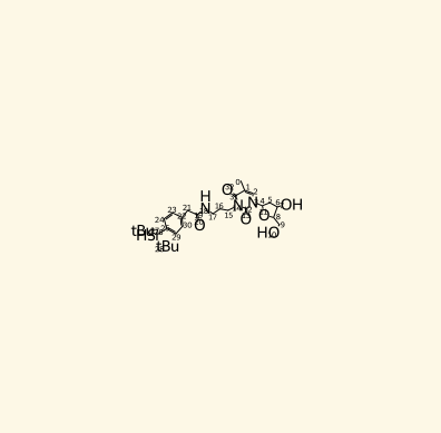 Cc1cn(C2CC(O)C(CO)O2)c(=O)n(CCCNC(=O)Cc2ccc([SiH](C(C)(C)C)C(C)(C)C)cc2)c1=O